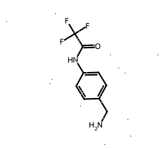 NCc1ccc(NC(=O)C(F)(F)F)cc1